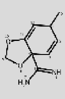 [CH2]C1C=CC2(C(=N)N)OCOC2=C1